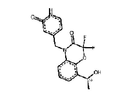 C[C@H](O)c1cccc2c1OC(F)(F)C(=O)N2Cc1cc[nH]c(=O)c1